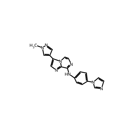 Cn1cc(-c2cnc3c(Nc4ccc(-n5ccnc5)cc4)nccn23)cn1